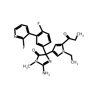 CCC(=O)c1cc(C2(c3ccc(F)c(-c4cccnc4F)c3)N=C(N)N(C)C2=O)cn1CC